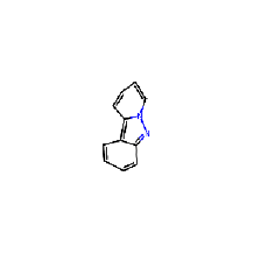 [c]1c[c]n2nc3ccccc3c2c1